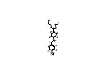 CCCCC(CCC)C1CCC(CCc2ccc(Br)cc2)CC1